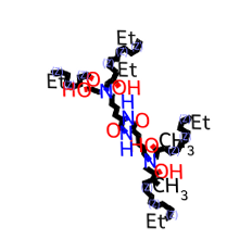 CC/C=C\C/C=C\C/C=C\OC(O)CN(CCCCC1NC(=O)C(CCCCN(CC(O)C(C)/C=C\C/C=C\C/C=C\CC)CC(O)C(C)/C=C\C/C=C\C/C=C\CC)NC1=O)CC(O)C(/C=C\C/C=C\C/C=C\CC)CC